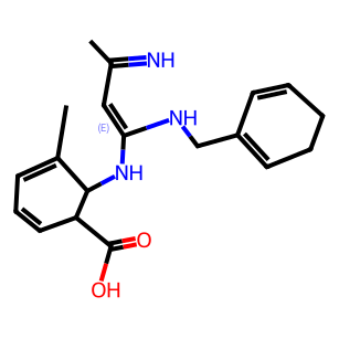 CC(=N)/C=C(\NCC1=CCCC=C1)NC1C(C)=CC=CC1C(=O)O